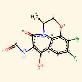 C[C@H]1COc2c(Br)c(Cl)cc3c(O)c(NC=O)c(=O)n1c23